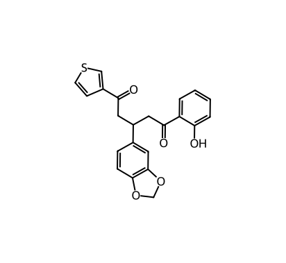 O=C(CC(CC(=O)c1ccccc1O)c1ccc2c(c1)OCO2)c1ccsc1